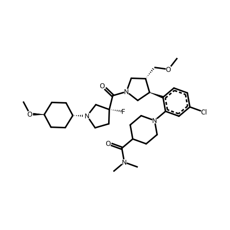 COC[C@H]1CN(C(=O)[C@@]2(F)CCN([C@H]3CC[C@H](OC)CC3)C2)C[C@@H]1c1ccc(Cl)cc1N1CCC(C(=O)N(C)C)CC1